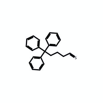 S=CCCCC(c1ccccc1)(c1ccccc1)c1ccccc1